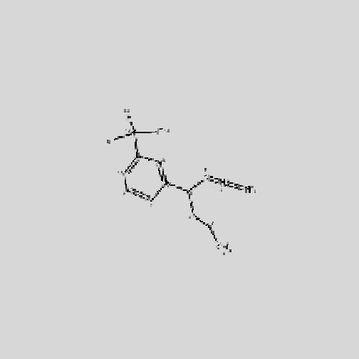 CCCC(N=[N+]=[N-])c1cccc(C(F)(F)F)c1